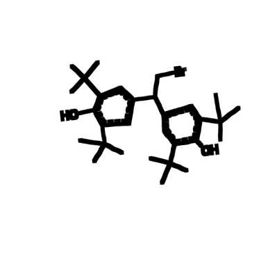 CC(C)(C)c1cc(C(CBr)c2cc(C(C)(C)C)c(O)c(C(C)(C)C)c2)cc(C(C)(C)C)c1O